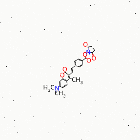 Cc1c(/C=C/c2ccc(C(=O)ON3C(=O)CCC3=O)cc2)c(=O)oc2cc(N(C)C)ccc12